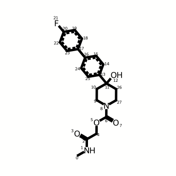 CNC(=O)COC(=O)N1CCC(O)(c2ccc(-c3ccc(F)cc3)cc2)CC1